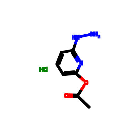 CC(=O)Oc1cccc(NN)n1.Cl